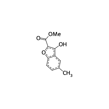 COC(=O)c1oc2ccc(C)cc2c1O